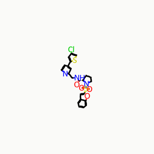 O=C(NCc1cc(-c2cc(Cl)cs2)ccn1)[C@@H]1CCCN1S(=O)(=O)c1cc2ccccc2o1